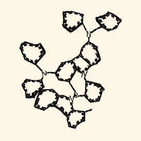 Cc1cccc2c3ccccc3n(B3c4ccccc4-n4c5ccc(N(c6ccccc6)c6ccccc6)cc5c5cc(N(c6ccccc6)c6ccccc6)cc3c54)c12